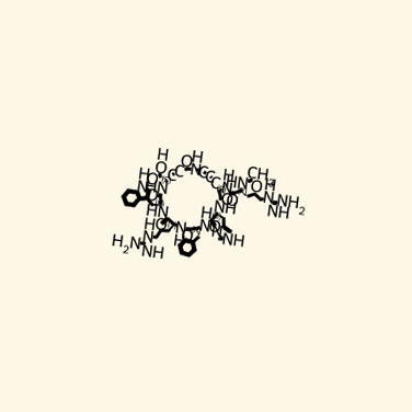 CC(=O)N[C@H](CCCNC(=N)N)C(=O)N[C@H]1CCCNC(=O)CC[C@@H](C(=O)O)NC(=O)[C@H](Cc2c[nH]c3ccccc23)NC(=O)[C@H](CCCNC(=N)N)NC(=O)[C@@H](Cc2ccccc2)NC(=O)[C@H](Cc2c[nH]cn2)NC1=O